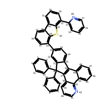 c1ccc(C2(c3ccccc3)c3cc(-c4cccc5c4sc4c(-c6ccccn6)cccc45)ccc3-c3c2c2cccnc2c2ccccc32)cc1